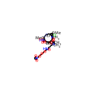 COc1cc2cc(c1Cl)N(C)C(=O)C[C@H](OC(=O)[C@H](C)N(C)C(=O)CCCCC(=O)NCCOCCOCCOCCN1C(=O)C=CC1=O)C1(C)O[C@H]1[C@H](C)C1C[C@@](O)(NC(=O)O1)[C@H](OC)/C=C/C=C(\C)C2